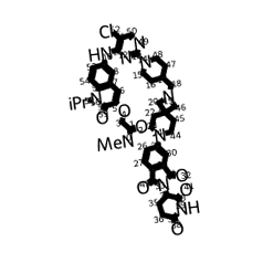 CNC(=O)COc1cc2cc(Nc3nc(N4CCC(CN5CC6(CCN(c7ccc8c(c7)C(=O)N(C7CCC(=O)NC7=O)C8=O)CC6)C5)CC4)ncc3Cl)ccc2n(C(C)C)c1=O